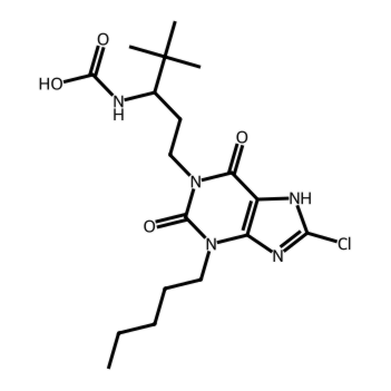 CCCCCn1c(=O)n(CCC(NC(=O)O)C(C)(C)C)c(=O)c2[nH]c(Cl)nc21